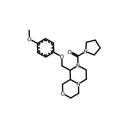 COc1ccc(OCC2C3COCCN3CCN2C(=O)N2CCCC2)cc1